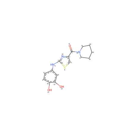 O=C(c1csc(Nc2ccc(O)c(O)c2)n1)N1CCCCC1